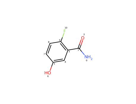 NC(=O)c1cc(O)ccc1F